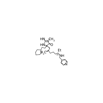 C=C(CCC[C@H](CC)NCc1ccncc1)C[C@@]1(CCC2CCCCC2)NC(=N)N(C)C1=O